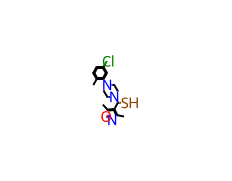 Cc1ccc(Cl)cc1N1CCN(C(S)c2c(C)noc2C)CC1